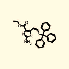 CCOC(=O)c1nc(N)sc1/C=C\SC(c1ccccc1)(c1ccccc1)c1ccccc1